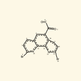 O=CC(=O)c1cc2ccc(Br)nc2c2nc(Br)ccc12